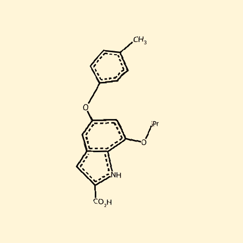 Cc1ccc(Oc2cc(OC(C)C)c3[nH]c(C(=O)O)cc3c2)cc1